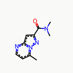 Cc1ccnc2cc(C(=O)N(C)C)nn12